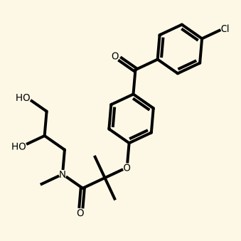 CN(CC(O)CO)C(=O)C(C)(C)Oc1ccc(C(=O)c2ccc(Cl)cc2)cc1